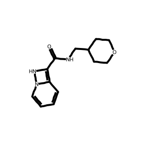 O=C(NCC1CCOCC1)c1[nH]n2ccccc12